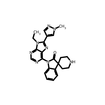 CCn1c(-c2cnn(C)c2)nc2c(N3C(=O)C4(CCNCC4)c4ccccc43)ncnc21